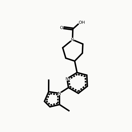 Cc1ccc(C)n1-c1cccc(C2CCN(C(=O)O)CC2)n1